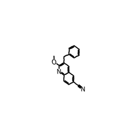 COc1nc2ccc(C#N)cc2cc1Cc1ccccc1